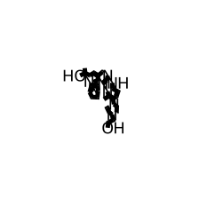 Cc1nc(Nc2ncc3cc(C(C)O)nc(N4C5CCC4CC5)c3n2)ccc1N1CCN(CCO)CC1